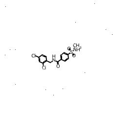 CNS(=O)(=O)c1ccc(C(=O)NCc2ccc(Cl)cc2Cl)cc1